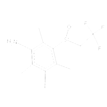 Cc1c(C)c(N)c(C)c([S+]([O-])CC(F)(F)F)c1C